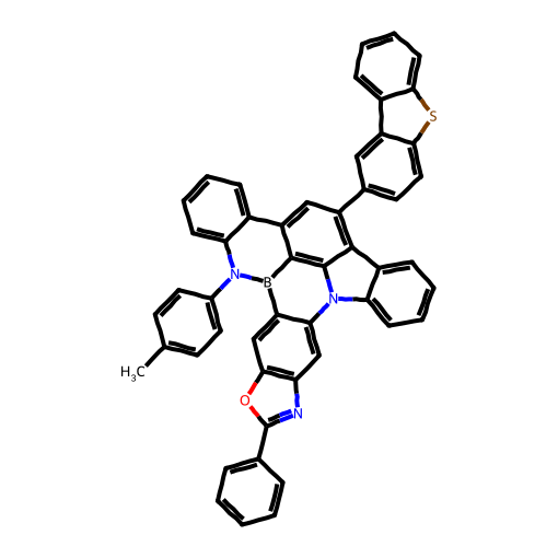 Cc1ccc(N2B3c4cc5oc(-c6ccccc6)nc5cc4-n4c5ccccc5c5c(-c6ccc7sc8ccccc8c7c6)cc(c3c54)-c3ccccc32)cc1